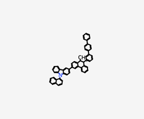 CC1c2ccc(-c3ccc4c(c3)c3ccccc3n4-c3cccc4ccccc34)cc2-c2ccccc2C1c1cccc(-c2ccc(-c3ccccc3)cc2)c1